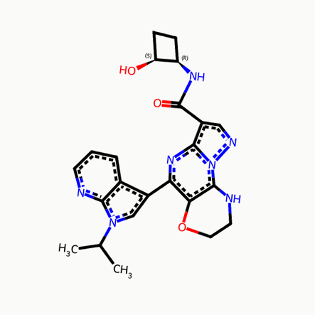 CC(C)n1cc(-c2nc3c(C(=O)N[C@@H]4CC[C@@H]4O)cnn3c3c2OCCN3)c2cccnc21